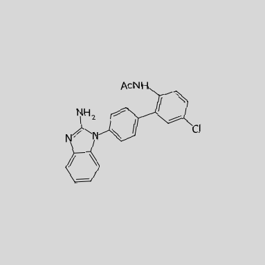 CC(=O)Nc1ccc(Cl)cc1-c1ccc(-n2c(N)nc3ccccc32)cc1